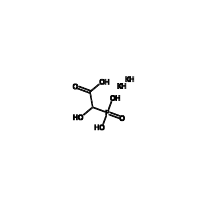 O=C(O)C(O)P(=O)(O)O.[KH].[KH]